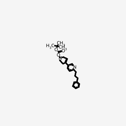 CC(C)(C)OC(=O)ON1CC=C(c2ccc(CCCc3ccccc3)nc2)CC1